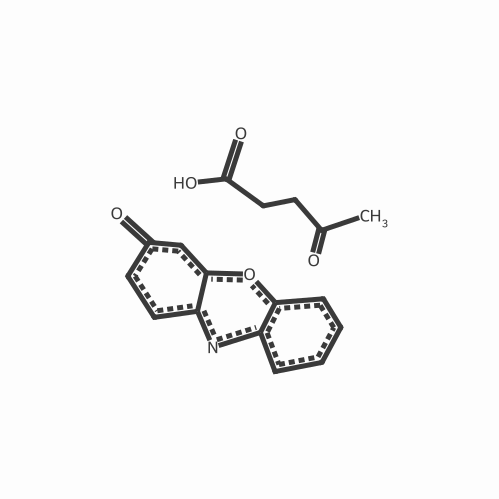 CC(=O)CCC(=O)O.O=c1ccc2nc3ccccc3oc-2c1